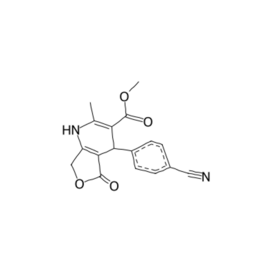 COC(=O)C1=C(C)NC2=C(C(=O)OC2)C1c1ccc(C#N)cc1